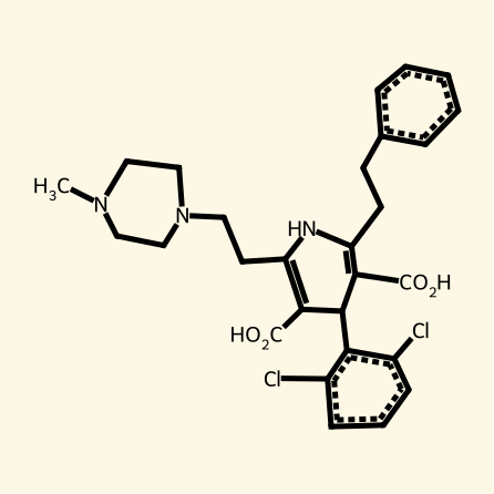 CN1CCN(CCC2=C(C(=O)O)C(c3c(Cl)cccc3Cl)C(C(=O)O)=C(CCc3ccccc3)N2)CC1